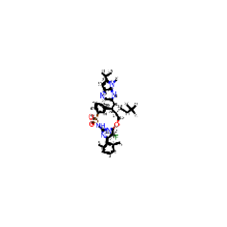 Cc1cccc(C)c1-c1nc2nc(c1F)OC[C@@H](CCC(C)(C)C)C(Cc1cnc3cc(C(C)C)n(C)c3n1)c1cccc(c1)S(=O)(=O)N2